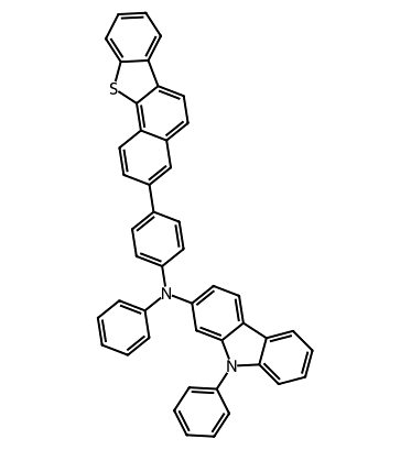 c1ccc(N(c2ccc(-c3ccc4c(ccc5c6ccccc6sc45)c3)cc2)c2ccc3c4ccccc4n(-c4ccccc4)c3c2)cc1